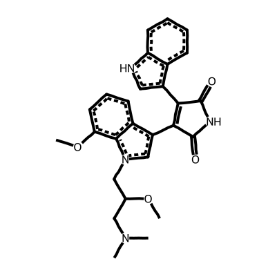 COc1cccc2c(C3=C(c4c[nH]c5ccccc45)C(=O)NC3=O)cn(CC(CN(C)C)OC)c12